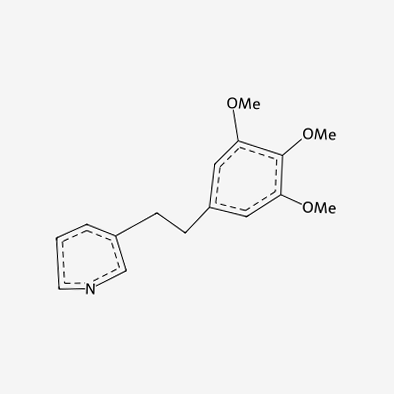 COc1cc(CCc2cccnc2)cc(OC)c1OC